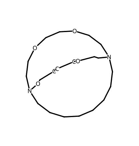 C1CCCCN2CCOCCOCCN(CCC1)CCOCCCCO2